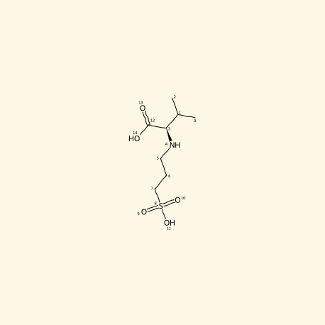 CC(C)[C@@H](NCCCS(=O)(=O)O)C(=O)O